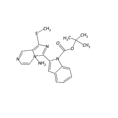 CSC1=C2C=NC=C[N+]2(N)C(c2cc3ccccc3n2C(=O)OC(C)(C)C)=N1